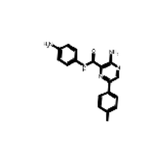 Cc1ccc(-c2cnc(N)c(C(=O)Nc3ccc(N)cc3)n2)cc1